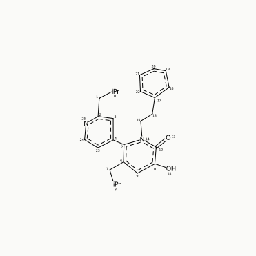 CC(C)Cc1cc(-c2c(CC(C)C)cc(O)c(=O)n2CCc2ccccc2)ccn1